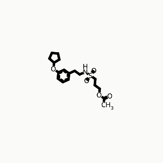 CC(=O)OCCCS(=O)(=O)NCCc1cccc(OC2CCCC2)c1